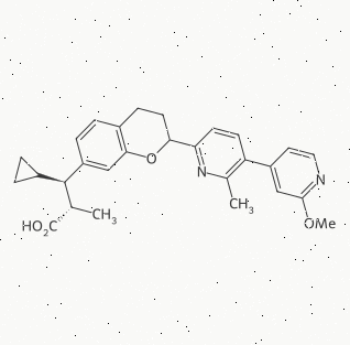 COc1cc(-c2ccc(C3CCc4ccc([C@H](C5CC5)[C@H](C)C(=O)O)cc4O3)nc2C)ccn1